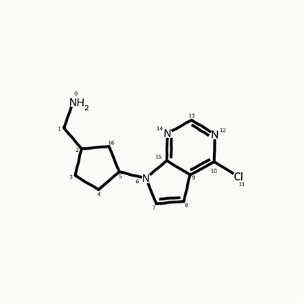 NCC1CCC(n2ccc3c(Cl)ncnc32)C1